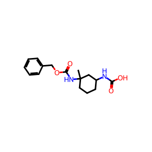 CC1(NC(=O)OCc2ccccc2)CCCC(NC(=O)O)C1